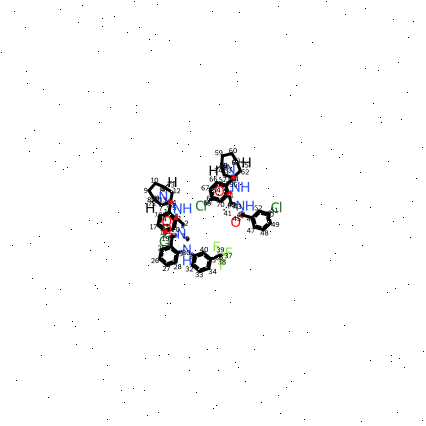 CN(CC(=O)N[C@@H]1C[C@H]2CC[C@@H](C1)N2Cc1ccc(Cl)cc1)C(=O)c1ccccc1Nc1cccc(C(F)(F)F)c1.C[C@@H](NC(=O)c1cccc(Cl)c1)C(=O)N[C@@H]1C[C@H]2CC[C@@H](C1)N2Cc1ccc(Cl)cc1